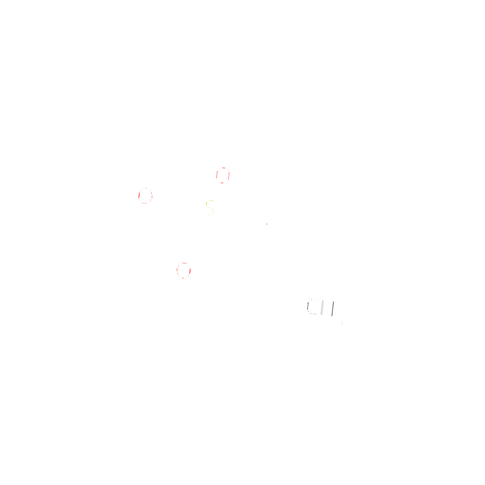 CCC1OS1(=O)=O